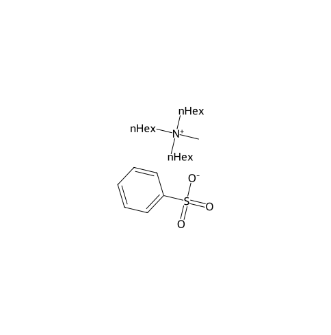 CCCCCC[N+](C)(CCCCCC)CCCCCC.O=S(=O)([O-])c1ccccc1